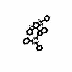 c1ccc(-c2nc(-c3ccccc3)nc(-c3cc(-c4c5nc(-c6ccccc6)sc5cc5oc6ccccc6c45)c4ccccc4c3)n2)cc1